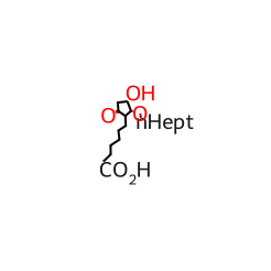 CCCCCCCOC1C(O)CC(=O)C1CCCCCCC(=O)O